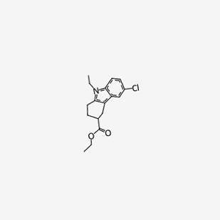 CCOC(=O)C1CCc2c(c3cc(Cl)ccc3n2CC)C1